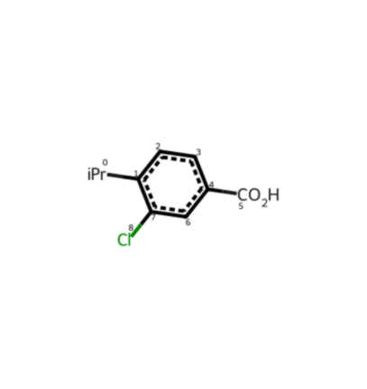 CC(C)c1ccc(C(=O)O)cc1Cl